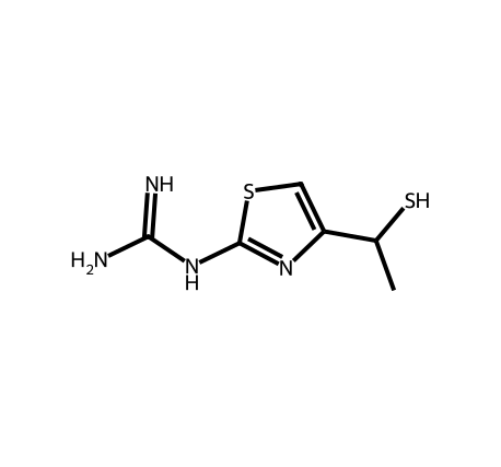 CC(S)c1csc(NC(=N)N)n1